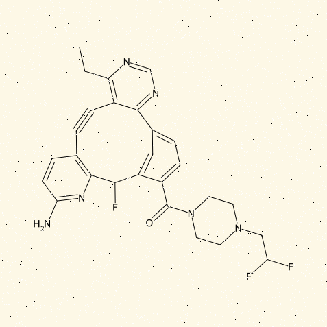 CCc1ncnc2c1C#Cc1ccc(N)nc1C(F)c1cc-2ccc1C(=O)N1CCN(CC(F)F)CC1